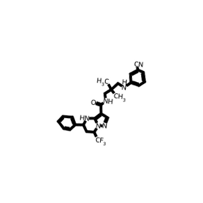 CC(C)(CNC(=O)c1cnn2c1NC(c1ccccc1)CC2C(F)(F)F)CNc1cccc(C#N)c1